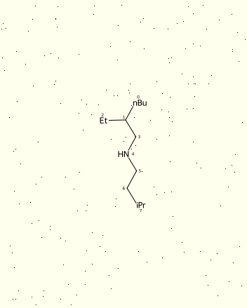 CCCCC(CC)CNCCC(C)C